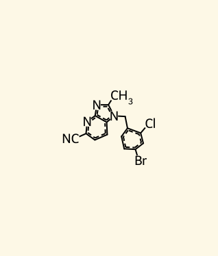 Cc1nc2nc(C#N)ccc2n1Cc1ccc(Br)cc1Cl